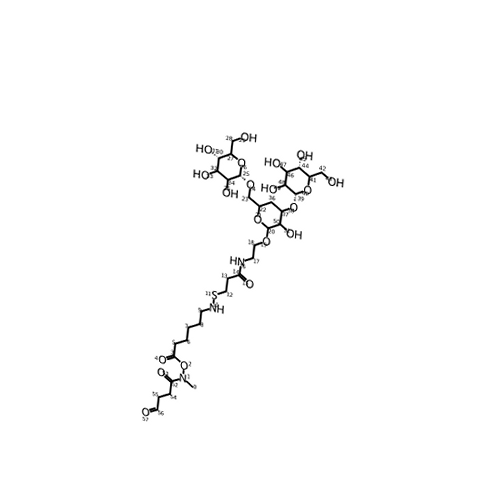 CN(OC(=O)CCCCCNSCCC(=O)NCCOC1OC(CO[C@H]2OC(CO)[C@@H](O)C(O)C2O)CC(O[C@H]2OC(CO)[C@@H](O)C(O)C2O)C1O)C(=O)CCC=O